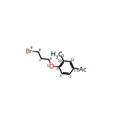 CC(=O)c1ccc(OCCCBr)c(C)c1